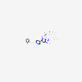 COCCn1c(=O)c(-c2ccc(NSCc3ccccc3F)c(F)c2)cc2cnc(SC)nc21